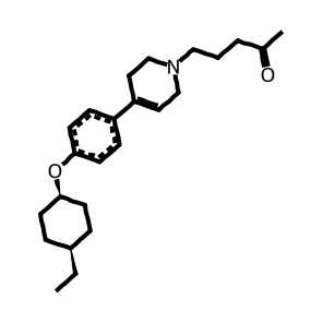 CC[C@H]1CC[C@@H](Oc2ccc(C3=CCN(CCCC(C)=O)CC3)cc2)CC1